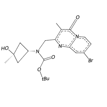 Cc1c(CN(C(=O)OC(C)(C)C)[C@H]2C[C@](C)(O)C2)nc2cc(Br)ccn2c1=O